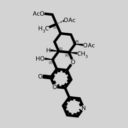 CC(=O)OC[C@@](C)(OC(C)=O)C1C[C@@H](OC(C)=O)[C@]2(C)Oc3cc(-c4cccnc4)oc(=O)c3[C@@H](O)[C@@H]2C1